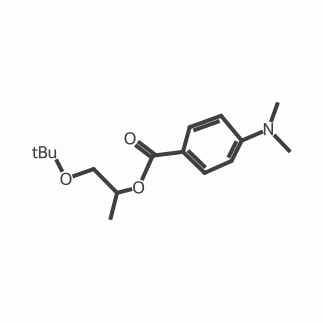 CC(COC(C)(C)C)OC(=O)c1ccc(N(C)C)cc1